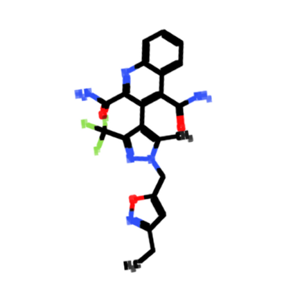 CCc1cc(Cn2nc(C(F)(F)F)c(-c3c(C(N)=O)nc4ccccc4c3C(N)=O)c2C)on1